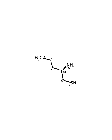 CCC[C@@H](N)CS